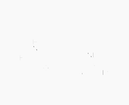 CCNC(=O)c1cccc(NC(=O)C(C)C)c1